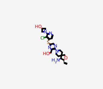 C=C[C@@H]1OCC2(CCN(c3ncc(Sc4ccnc(N5CC(O)C5)c4Cl)nc3CO)CC2)[C@@H]1N